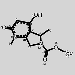 CC1c2c(O)cc(=O)n(C)c2CN1C(=O)OC(C)(C)C